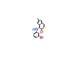 CC1=CC2=C(Nc3cccc(Br)c3)C(=O)C=CC2=C1